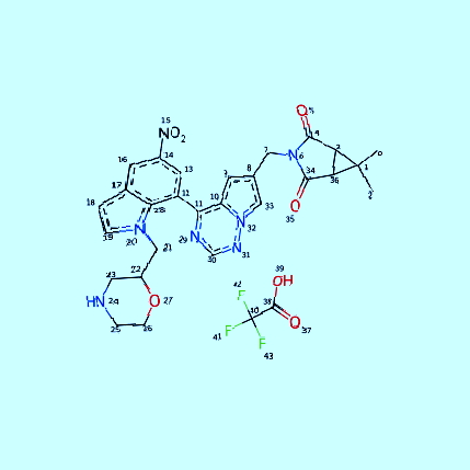 CC1(C)C2C(=O)N(Cc3cc4c(-c5cc([N+](=O)[O-])cc6ccn(CC7CNCCO7)c56)ncnn4c3)C(=O)C21.O=C(O)C(F)(F)F